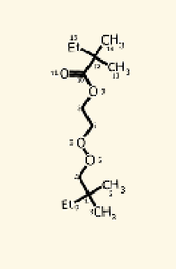 CCC(C)(C)COOCCOC(=O)C(C)(C)CC